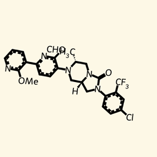 COc1ncccc1-c1ccc(N2C[C@H]3CN(c4ccc(Cl)cc4C(F)(F)F)C(=O)N3C[C@H]2C)c(C=O)n1